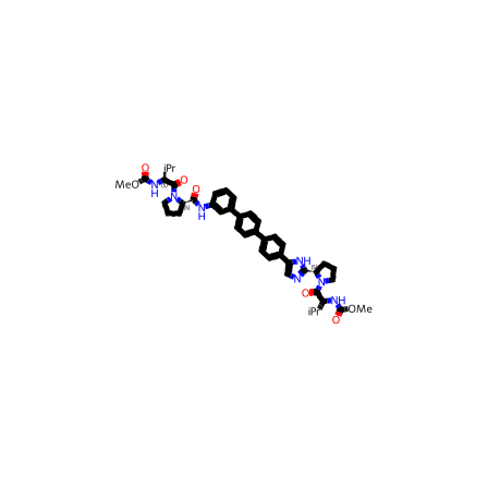 COC(=O)NC(C(=O)N1CCC[C@H]1c1ncc(-c2ccc(-c3ccc(-c4cccc(NC(=O)[C@@H]5CCCN5C(=O)[C@@H](NC(=O)OC)C(C)C)c4)cc3)cc2)[nH]1)C(C)C